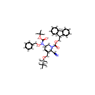 CC(C)(C)OC(=O)N(OCc1ccccc1)[C@@H]1C=C(CO[Si](C)(C)C(C)(C)C)C(C#N)N(C(=O)OCC2c3ccccc3-c3ccccc32)C1